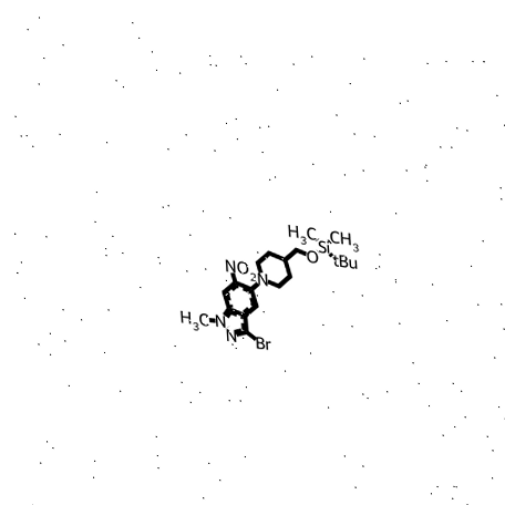 Cn1nc(Br)c2cc(N3CCC(CO[Si](C)(C)C(C)(C)C)CC3)c([N+](=O)[O-])cc21